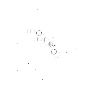 CC(C)CN(CCC(Cc1ccc(O)cc1)N(O)C(=O)O)S(=O)(=O)c1ccc2c(c1)OCO2